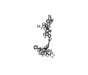 CC(C)(C)[C@H](NC(=O)COCCCCOc1ccc(-c2ncc(N3C(=S)N(c4ccc(C#N)c(C(F)(F)F)c4F)C(=O)C3(C)C)cc2F)c(C(F)(F)F)c1)C(=O)N1CCC[C@H]1c1nc(-c2ccccc2)c[nH]1